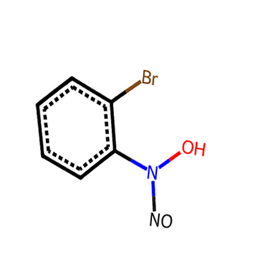 O=NN(O)c1ccccc1Br